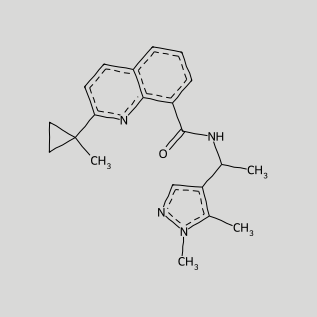 Cc1c(C(C)NC(=O)c2cccc3ccc(C4(C)CC4)nc23)cnn1C